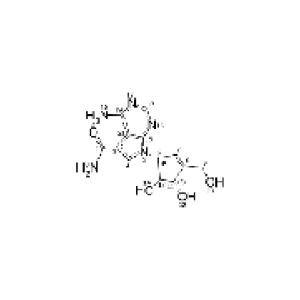 NC(=O)c1cn([C@@H]2C=C(CO)[C@H](O)C2O)c2ncnc(N)c12